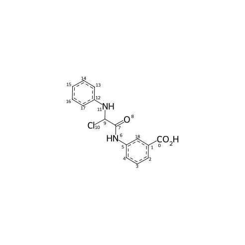 O=C(O)c1cccc(NC(=O)C(Cl)Nc2ccccc2)c1